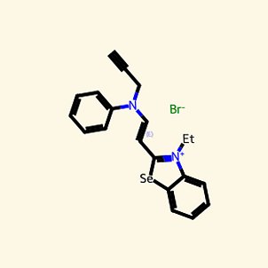 C#CCN(/C=C/c1[se]c2ccccc2[n+]1CC)c1ccccc1.[Br-]